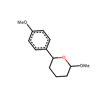 COc1ccc(C2CCCC(OC)O2)cc1